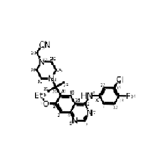 CCOc1cc2ncnc(Nc3ccc(F)c(Cl)c3)c2cc1C(C)(C)N1CCN(CC#N)CC1